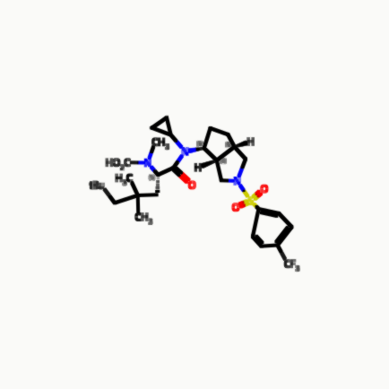 CN(C(=O)O)[C@@H](CC(C)(C)CC(C)(C)C)C(=O)N(C1CC1)[C@H]1CC[C@@H]2CN(S(=O)(=O)c3ccc(C(F)(F)F)cc3)C[C@@H]21